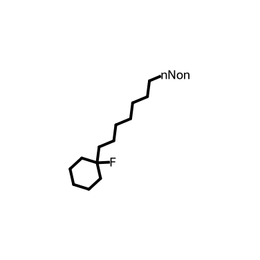 CCCCCCCCCCCCCCCCC1(F)CCCCC1